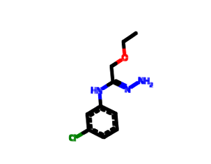 CCOCC(=NN)Nc1cccc(Cl)c1